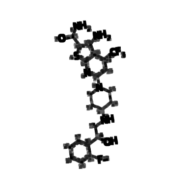 NC(=O)c1sc2nc(N3CCC(NCC(O)c4ccccc4F)CC3)cc(C(F)(F)F)c2c1N